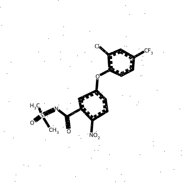 CS(C)(=O)=NC(=O)c1cc(Oc2ccc(C(F)(F)F)cc2Cl)ccc1[N+](=O)[O-]